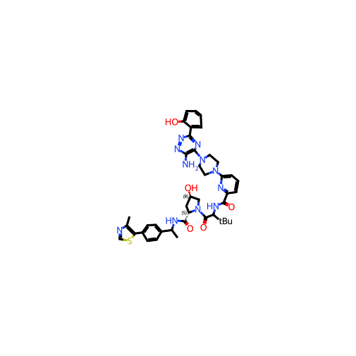 Cc1ncsc1-c1ccc(C(C)NC(=O)[C@@H]2C[C@@H](O)CN2C(=O)C(NC(=O)c2cccc(N3CCN(c4nc(-c5ccccc5O)nnc4N)CC3)n2)C(C)(C)C)cc1